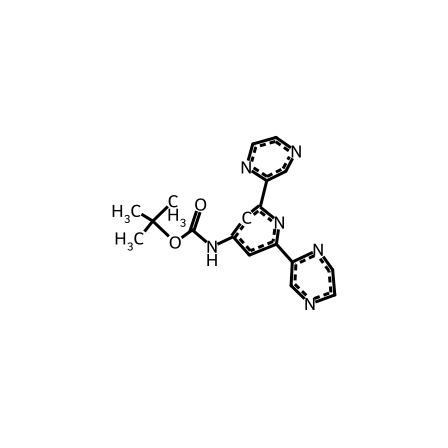 CC(C)(C)OC(=O)Nc1cc(-c2cnccn2)nc(-c2cnccn2)c1